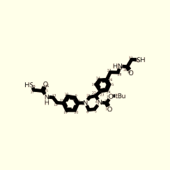 CC(C)(C)OC(=O)N1CCN(c2ccc(CCNC(=O)CS)cc2)CC1c1ccc(CCNC(=O)CS)cc1